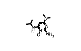 CC(C)Nc1cc(N(C)C)nc(N)[n+]1[O-]